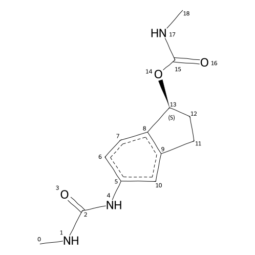 CNC(=O)Nc1ccc2c(c1)CC[C@@H]2OC(=O)NC